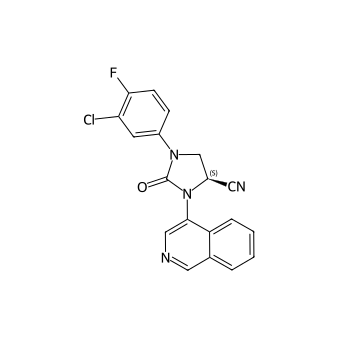 N#C[C@@H]1CN(c2ccc(F)c(Cl)c2)C(=O)N1c1cncc2ccccc12